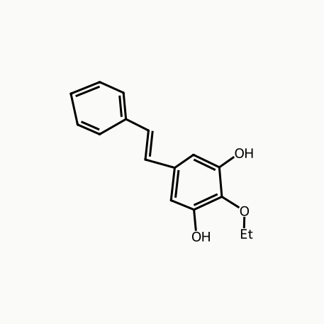 CCOc1c(O)cc(C=Cc2ccccc2)cc1O